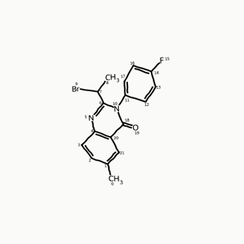 Cc1ccc2nc(C(C)Br)n(-c3ccc(F)cc3)c(=O)c2c1